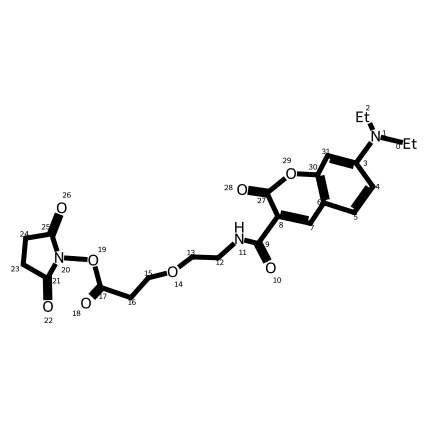 CCN(CC)c1ccc2cc(C(=O)NCCOCCC(=O)ON3C(=O)CCC3=O)c(=O)oc2c1